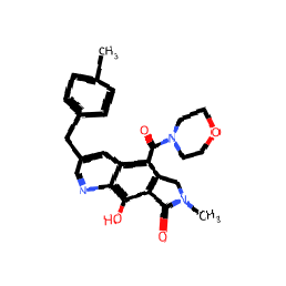 Cc1ccc(Cc2cnc3c(O)c4c(c(C(=O)N5CCOCC5)c3c2)CN(C)C4=O)cc1